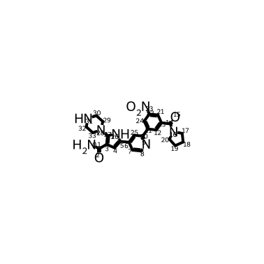 NC(=O)c1cc(-c2ccnc(-c3cc(C(=O)N4CCCC4)cc([N+](=O)[O-])c3)c2)[nH]c1N1CCNCC1